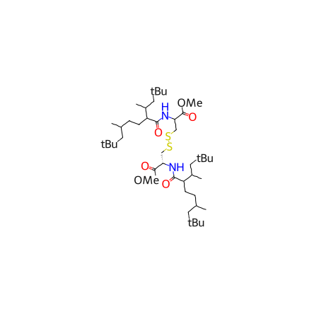 COC(=O)C(CSSC[C@H](NC(=O)C(CCC(C)CC(C)(C)C)C(C)CC(C)(C)C)C(=O)OC)NC(=O)C(CCC(C)CC(C)(C)C)C(C)CC(C)(C)C